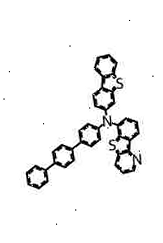 c1ccc(-c2ccc(-c3ccc(N(c4ccc5c(c4)sc4ccccc45)c4cccc5c4sc4cccnc45)cc3)cc2)cc1